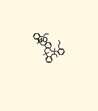 CCCc1ccccc1C(C)(C)Cc1ccc(O)c(CC(C)(C)c2ccccc2CCC)c1CC(C)(C)c1ccccc1CCC